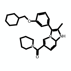 CC1=C(c2cccc(OCC3CCCCC3)c2)N2C=C(C(=O)N3CCCCC3)C=CC2N1